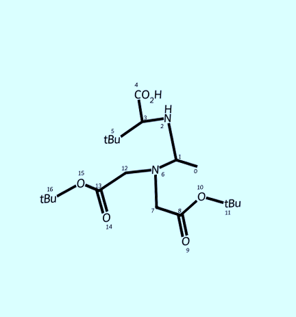 CC(NC(C(=O)O)C(C)(C)C)N(CC(=O)OC(C)(C)C)CC(=O)OC(C)(C)C